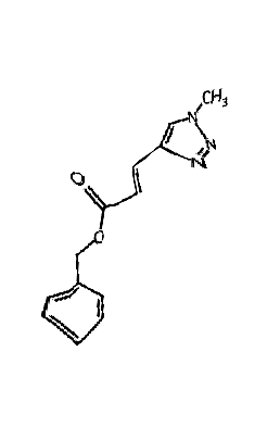 Cn1cc(/C=C/C(=O)OCc2ccccc2)nn1